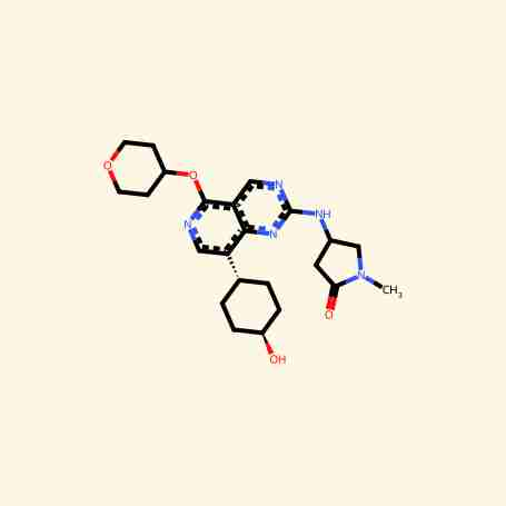 CN1CC(Nc2ncc3c(OC4CCOCC4)ncc([C@H]4CC[C@H](O)CC4)c3n2)CC1=O